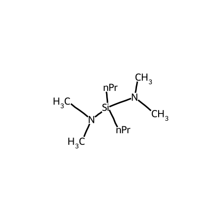 CCC[Si](CCC)(N(C)C)N(C)C